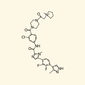 Cc1n[nH]cc1-c1ccc(-c2cnc(C(=O)Nc3ccc(C(=O)N4CCN(C(=O)C[N+]5(C)CCCC5)CC4)c(Cl)c3)n2C)c(F)c1F